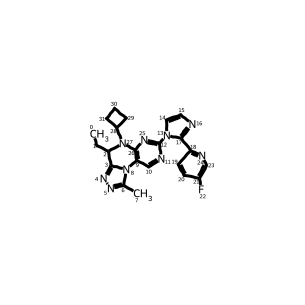 CCC1c2nnc(C)n2-c2cnc(-n3ccnc3-c3ccc(F)cn3)nc2N1C1CCC1